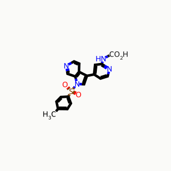 Cc1ccc(S(=O)(=O)n2cc(-c3ccnc(NC(=O)O)c3)c3ccncc32)cc1